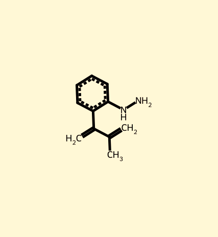 C=C(C)C(=C)c1ccccc1NN